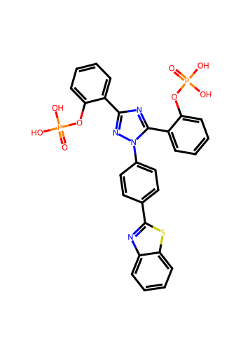 O=P(O)(O)Oc1ccccc1-c1nc(-c2ccccc2OP(=O)(O)O)n(-c2ccc(-c3nc4ccccc4s3)cc2)n1